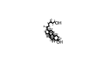 C[C@@H](CCO)CC[C@@H](C)[C@H]1CC[C@H]2[C@@H]3CC[C@H]4C[C@@](C)(O)CC[C@]4(C)[C@H]3CC[C@]12C